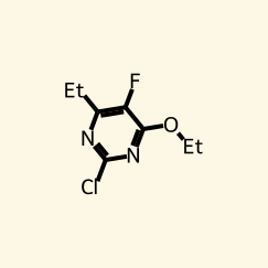 CCOc1nc(Cl)nc(CC)c1F